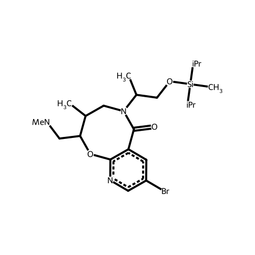 CNCC1Oc2ncc(Br)cc2C(=O)N(C(C)CO[Si](C)(C(C)C)C(C)C)CC1C